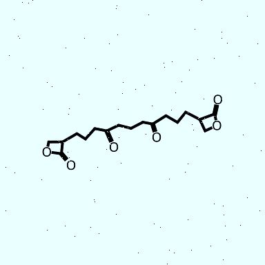 O=C(CCCC(=O)CCCC1COC1=O)CCCC1COC1=O